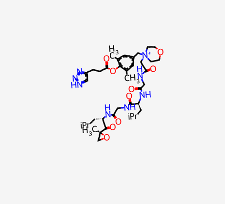 Cc1cc(C[N+]2(CC(=O)NCC(=O)N[C@@H](CC(C)C)C(=O)NCC(=O)N[C@@H](CC(C)C)C(=O)[C@@]3(C)CO3)CCOCC2)cc(C)c1OC(=O)CCc1c[nH]nn1